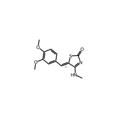 CNC1=NC(=O)S/C1=C\c1ccc(OC)c(OC)c1